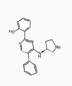 Oc1ccccc1-c1ncc(-c2ccccc2)c(N[C@H]2CCNC2)n1